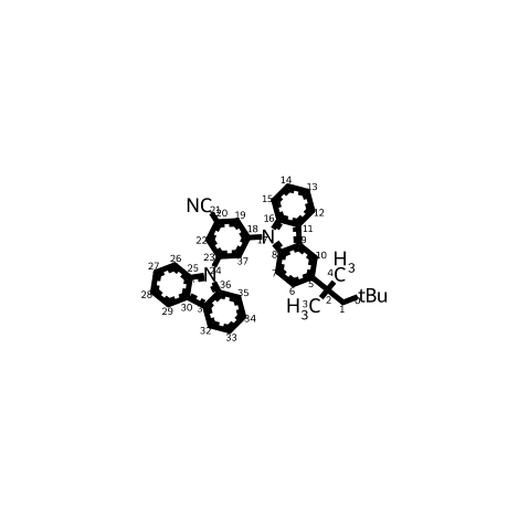 CC(C)(C)CC(C)(C)c1ccc2c(c1)c1ccccc1n2-c1cc(C#N)cc(-n2c3ccccc3c3ccccc32)c1